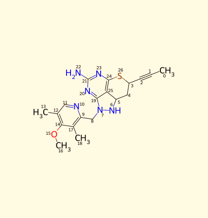 CC#CC1CC2NN(Cc3ncc(C)c(OC)c3C)c3nc(N)nc(c32)S1